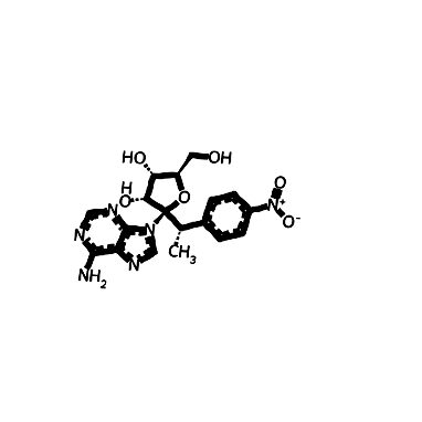 C[C@@H](c1ccc([N+](=O)[O-])cc1)[C@@]1(n2cnc3c(N)ncnc32)O[C@H](CO)[C@@H](O)[C@H]1O